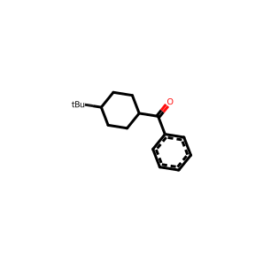 CC(C)(C)C1CCC(C(=O)c2ccccc2)CC1